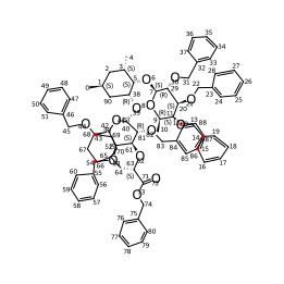 C[C@H]1C[C@H](C)[C@H](O[C@@H]2O[C@H](C)[C@H](OCc3ccccc3)[C@H](OCc3ccccc3)[C@H]2OCc2ccccc2)[C@H](O[C@H]2O[C@H](COCc3ccccc3)[C@H](OCc3ccccc3)[C@H](O[C@@H](CC3CCCCC3)C(=O)OCc3ccccc3)[C@H]2OCc2ccccc2)C1